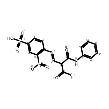 CC(=O)C(N=Nc1ccc(S(=O)(=O)O)cc1[N+](=O)[O-])C(=O)Nc1ccccc1